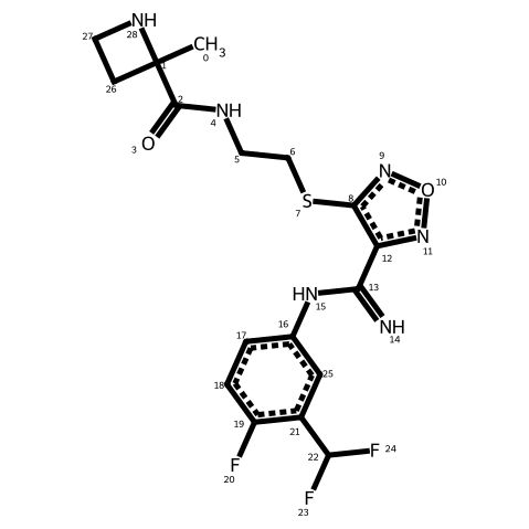 CC1(C(=O)NCCSc2nonc2C(=N)Nc2ccc(F)c(C(F)F)c2)CCN1